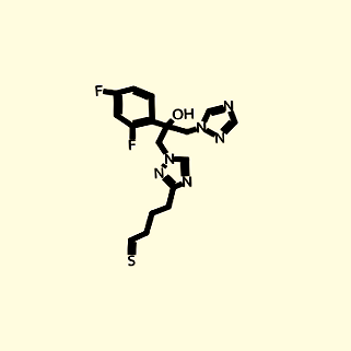 OC(Cn1cncn1)(Cn1cnc(CCCC=S)n1)c1ccc(F)cc1F